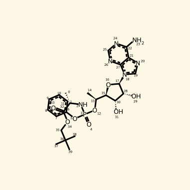 C[C@H](NP(=O)(Oc1ccccc1)O[C@@H](C)[C@H]1O[C@@H](n2cnc3c(N)ncnc32)[C@H](O)[C@@H]1O)C(=O)OCC(C)(C)C